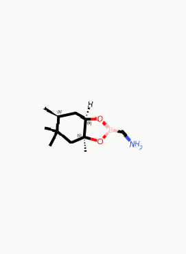 C[C@H]1C[C@H]2OB(CN)O[C@@]2(C)CC1(C)C